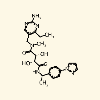 CCc1nc(N)ncc1CN(C)C(=O)[C@H](O)[C@@H](O)C(=O)N[C@H](C)c1ccc(-n2cccn2)cc1